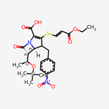 CCOC(=O)C=CSC1=C(C(=O)O)N2C(=O)[C@@H]([C@H](C)O[Si](C)(C)C)[C@@H]2C1Cc1ccc([N+](=O)[O-])cc1